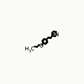 CCCCOc1ccc(C=CC2CN3CCC2CC3)cc1